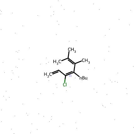 C=C/C(Cl)=C(/CCCC)C(C)=C(C)C